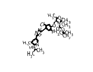 Cc1cc(-c2nnc(-c3cc(F)c(OC[C@H]4[C@@H](C)OC(C)(C)N4C(=O)OC(C)(C)C)cc3Cl)s2)cnc1NC(C)C